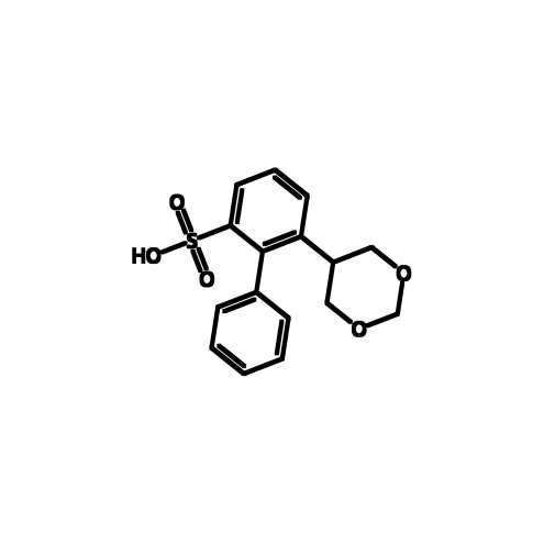 O=S(=O)(O)c1cccc(C2COCOC2)c1-c1ccccc1